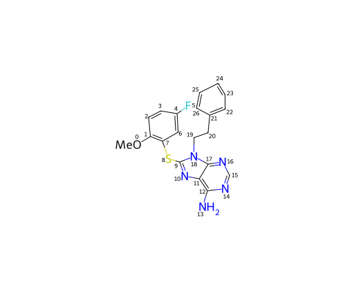 COc1ccc(F)cc1Sc1nc2c(N)ncnc2n1CCc1ccccc1